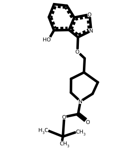 CC(C)(C)OC(=O)N1CCC(COc2noc3cccc(O)c23)CC1